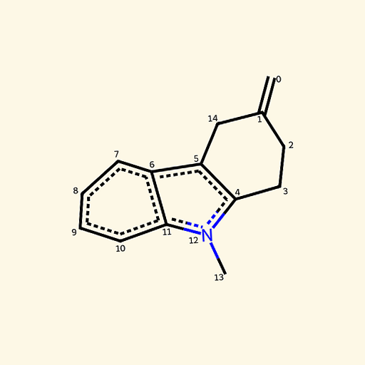 C=C1CCc2c(c3ccccc3n2C)C1